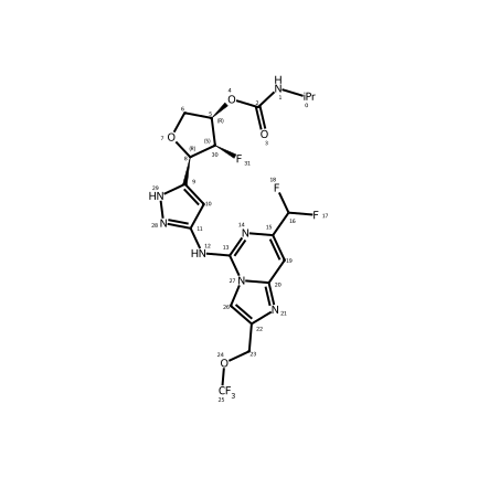 CC(C)NC(=O)O[C@@H]1CO[C@H](c2cc(Nc3nc(C(F)F)cc4nc(COC(F)(F)F)cn34)n[nH]2)[C@@H]1F